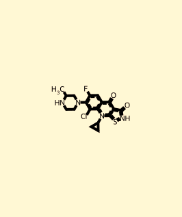 CC1CN(c2c(F)cc3c(=O)c4c(=O)[nH]sc4n(C4CC4)c3c2Cl)CCN1